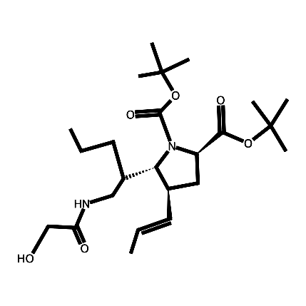 CC=C[C@@H]1C[C@H](C(=O)OC(C)(C)C)N(C(=O)OC(C)(C)C)[C@H]1C(CCC)CNC(=O)CO